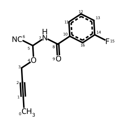 CC#CCOC(C#N)NC(=O)c1cccc(F)c1